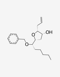 C=CC[C@H]1O[C@@H]([C@H](CCCCC)OCc2ccccc2)C[C@H]1O